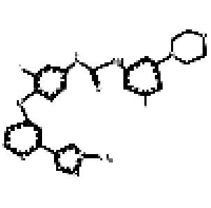 Cn1cc(-c2cc(Oc3ccc(NC(=O)Nc4cc(Cl)cc(N5CCOCC5)c4)cc3F)ccn2)cn1